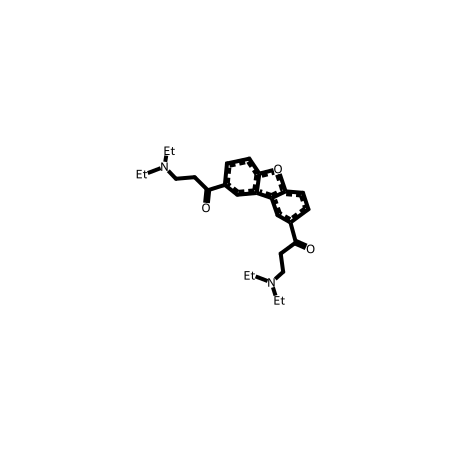 CCN(CC)CCC(=O)c1ccc2oc3ccc(C(=O)CCN(CC)CC)cc3c2c1